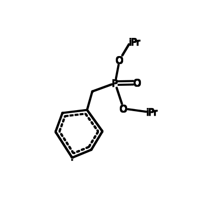 CC(C)OP(=O)(Cc1cc[c]cc1)OC(C)C